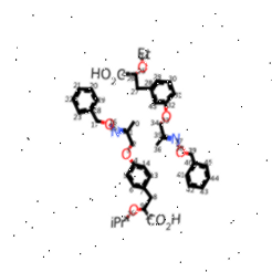 CC(COc1ccc(CC(OC(C)C)C(=O)O)cc1)=NOCc1ccccc1.CCOC(Cc1cccc(OCC(C)=NOCc2ccccc2)c1)C(=O)O